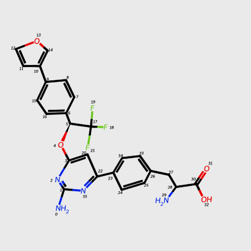 Nc1nc(O[C@@H](c2ccc(-c3ccoc3)cc2)C(F)(F)F)cc(-c2ccc(CC(N)C(=O)O)cc2)n1